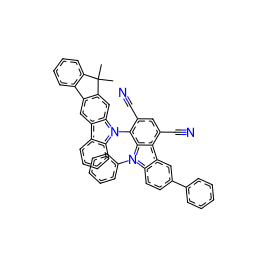 CC1(C)c2ccccc2-c2cc3c4ccccc4n(-c4c(C#N)cc(C#N)c5c6cc(-c7ccccc7)ccc6n(-c6ccccc6)c45)c3cc21